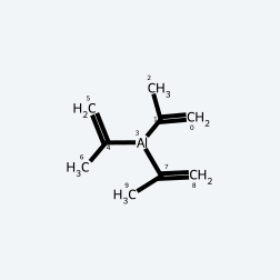 C=[C](C)[Al]([C](=C)C)[C](=C)C